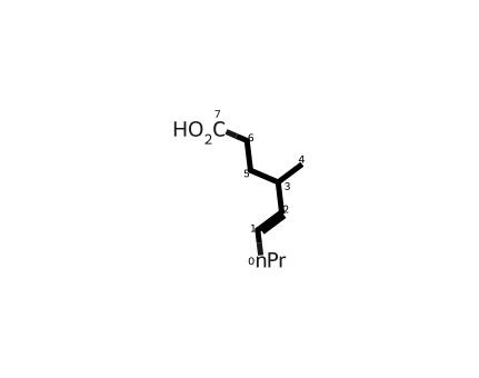 CCCC=CC(C)CCC(=O)O